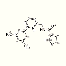 O=C(NCc1ccnc(-c2cc(C(F)(F)F)cc(C(F)(F)F)c2)n1)[C@@H]1CCCN1